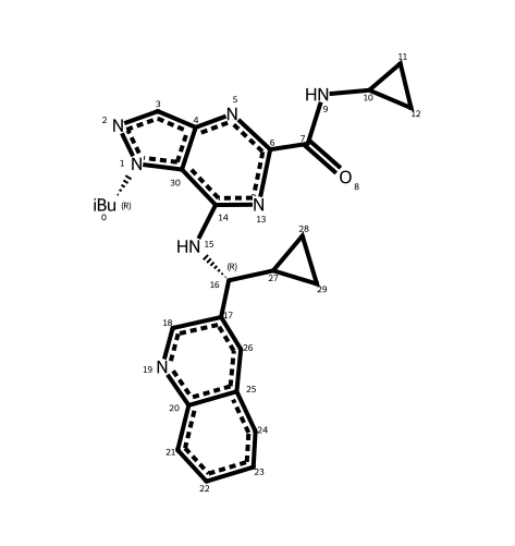 CC[C@@H](C)n1ncc2nc(C(=O)NC3CC3)nc(N[C@@H](c3cnc4ccccc4c3)C3CC3)c21